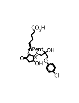 CCCCCC(O)(COc1ccc(Cl)cc1)CS[C@H]1C(O)CC(=O)[C@@H]1CC=CCCCC(=O)O